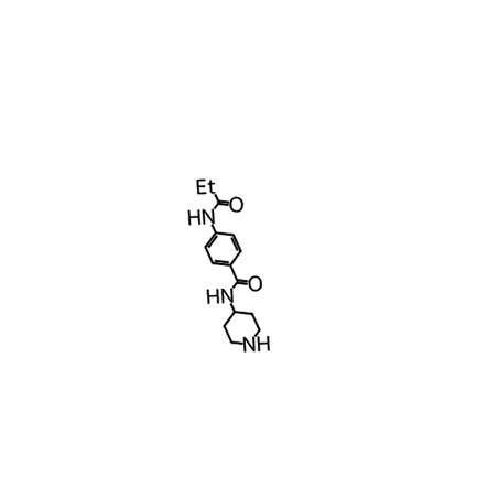 [CH2]CC(=O)Nc1ccc(C(=O)NC2CCNCC2)cc1